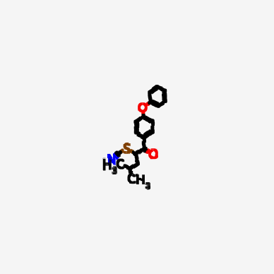 CC(C)CC(SC#N)C(=O)c1ccc(Oc2ccccc2)cc1